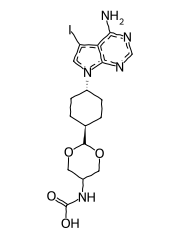 Nc1ncnc2c1c(I)cn2[C@H]1CC[C@H](C2OCC(NC(=O)O)CO2)CC1